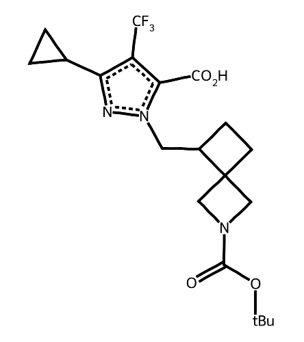 CC(C)(C)OC(=O)N1CC2(CCC2Cn2nc(C3CC3)c(C(F)(F)F)c2C(=O)O)C1